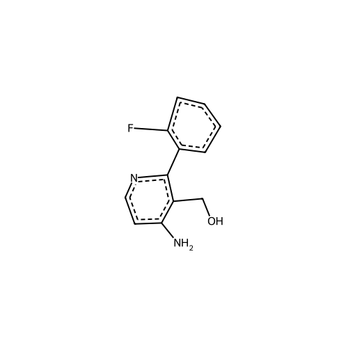 Nc1ccnc(-c2ccccc2F)c1CO